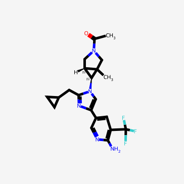 CC(=O)N1C[C@H]2[C@H](n3cc(-c4cnc(N)c(C(F)(F)F)c4)nc3CC3CC3)C2(C)C1